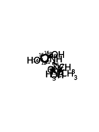 CC(C)(C)N(CCNC1(CO)CCC(O)CC1)C(=O)O